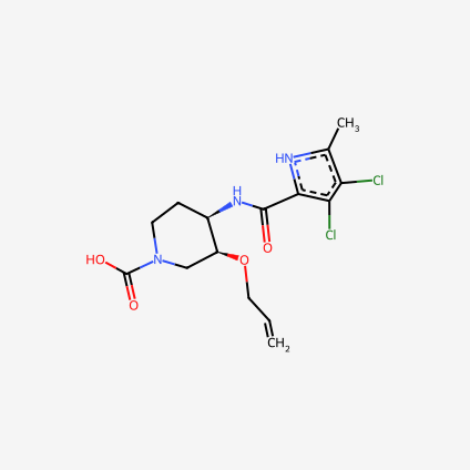 C=CCO[C@H]1CN(C(=O)O)CC[C@H]1NC(=O)c1[nH]c(C)c(Cl)c1Cl